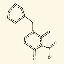 O=c1ccn(Cc2ccccc2)c(=O)n1[N+](=O)[O-]